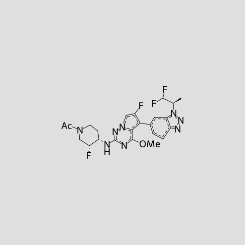 COc1nc(N[C@H]2CCN(C(C)=O)C[C@H]2F)nn2cc(F)c(-c3ccc4nnn([C@H](C)C(F)F)c4c3)c12